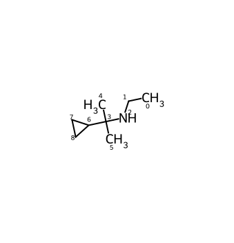 CCNC(C)(C)C1CC1